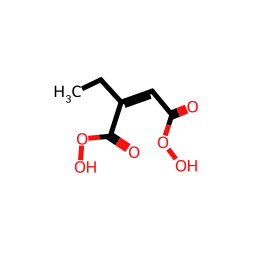 CCC(=CC(=O)OO)C(=O)OO